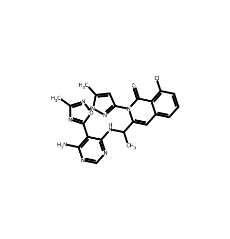 Cc1noc(-c2c(N)ncnc2NC(C)c2cc3cccc(Cl)c3c(=O)n2-c2cc(C)[nH]n2)n1